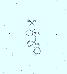 CC[C@@]1(O)CC[C@@]2(C)C(CCC3C4=CC=C(c5cccnc5)[C@@]4(C)CCC32)C1